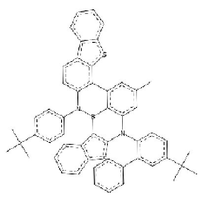 Cc1cc2c3c(c1)N(c1ccc(C(C)(C)C)cc1-c1ccccc1)c1sc4ccccc4c1B3N(c1ccc(C(C)(C)C)cc1)c1ccc3c(sc4ccccc43)c1-2